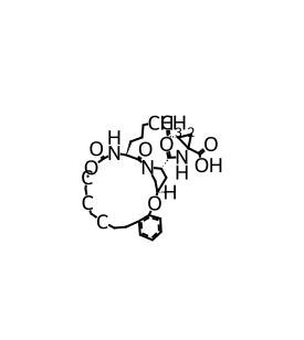 C=C[C@@H]1C[C@]1(NC(=O)[C@@H]1C[C@@H]2CN1C(=O)[C@H](CCCC)NC(=O)OCCCCCCCc1ccccc1O2)C(=O)O